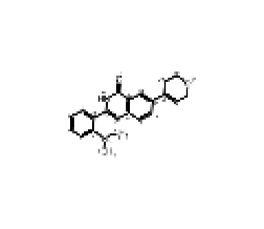 CN(C)c1ccccc1-c1cc2ccc(C3=CCOCC3)cc2c(=O)[nH]1